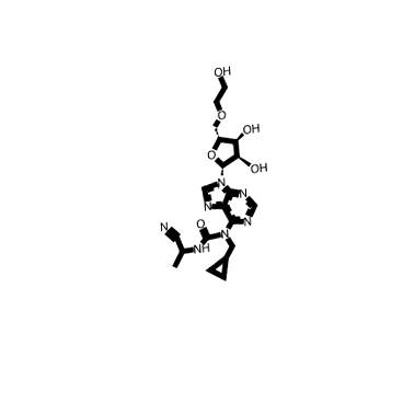 CC(C#N)NC(=O)N(CC1CC1)c1ncnc2c1ncn2[C@@H]1O[C@H](COCCO)[C@@H](O)[C@H]1O